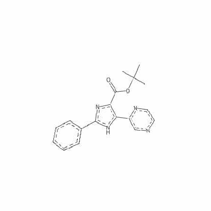 CC(C)(C)OC(=O)c1nc(-c2ccccc2)[nH]c1-c1cnccn1